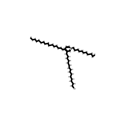 CCCCCCCCCCCCCCCCc1cc[n+](CCCCCCCCCCC)cc1CCCCCCCCCCCCCCCC